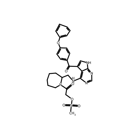 CS(=O)(=O)OCC(=O)N1CCCCCC1CNc1ncnc2[nH]cc(C(=O)c3ccc(Oc4ccccc4)cc3)c12